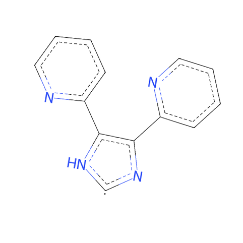 [c]1nc(-c2ccccn2)c(-c2ccccn2)[nH]1